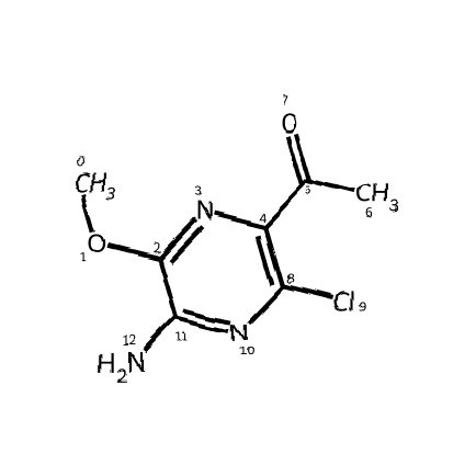 COc1nc(C(C)=O)c(Cl)nc1N